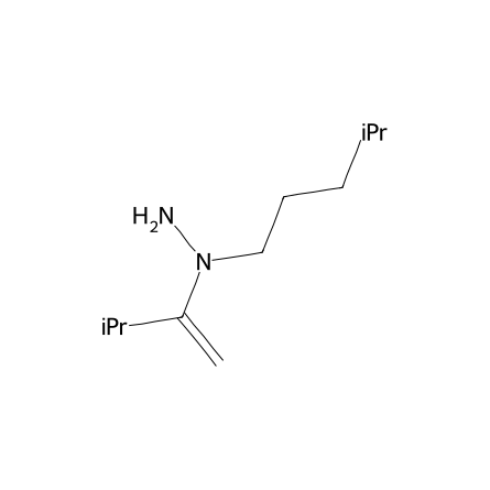 C=C(C(C)C)N(N)CCCC(C)C